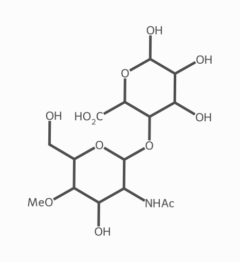 COC1C(CO)OC(OC2C(C(=O)O)OC(O)C(O)C2O)C(NC(C)=O)C1O